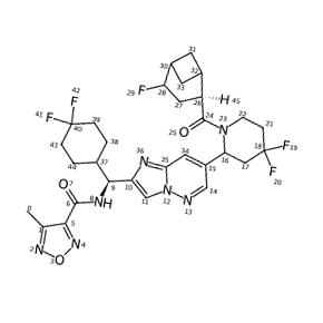 Cc1nonc1C(=O)N[C@H](c1cn2ncc(C3CC(F)(F)CCN3C(=O)[C@H]3CC(F)C4CC3C4)cc2n1)C1CCC(F)(F)CC1